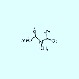 CCC(=O)N(C)C(=O)OC